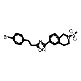 CS(=O)(=O)N1CCc2cc(-c3noc(CCc4ccc(Br)cc4)n3)ccc2C1